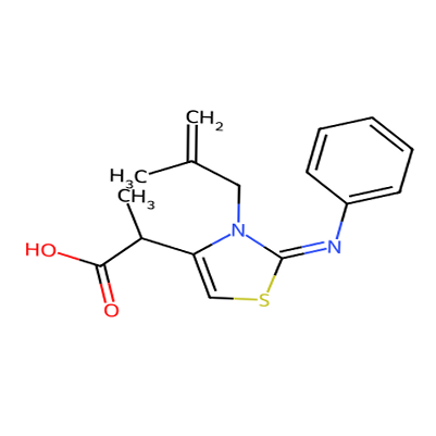 C=C(C)Cn1c(C(C)C(=O)O)cs/c1=N/c1ccccc1